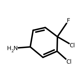 NC1C=CC(F)(Cl)C(Cl)=C1